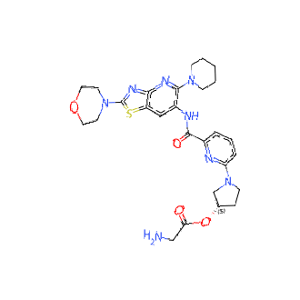 NCC(=O)O[C@H]1CCN(c2cccc(C(=O)Nc3cc4sc(N5CCOCC5)nc4nc3N3CCCCC3)n2)C1